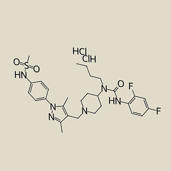 CCCCN(C(=O)Nc1ccc(F)cc1F)C1CCN(Cc2c(C)nn(-c3ccc(NS(C)(=O)=O)cc3)c2C)CC1.Cl.Cl